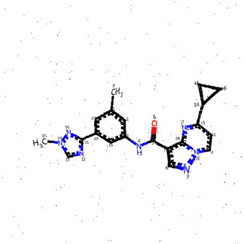 Cc1cc(NC(=O)c2cnn3ccc(C4CC4)nc23)cc(-c2ncn(C)n2)c1